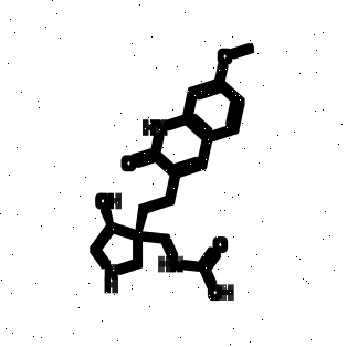 COc1ccc2cc(CC[C@@]3(CNC(=O)O)CNC[C@H]3O)c(=O)[nH]c2c1